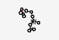 c1ccc(-c2nc(-c3ccc(-c4cccc(-c5ccc(-c6ccccc6)c(-n6c7ccccc7c7ccccc76)c5)c4)cc3)nc(-c3cccc(-n4c5ccccc5c5ccccc54)c3)n2)cc1